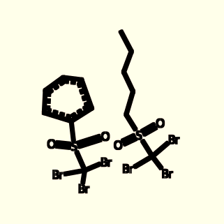 CCCCCS(=O)(=O)C(Br)(Br)Br.O=S(=O)(c1ccccc1)C(Br)(Br)Br